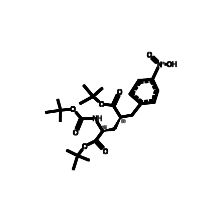 CC(C)(C)OC(=O)N[C@@H](C[C@H](Cc1ccc([N+](=O)O)cc1)C(=O)OC(C)(C)C)C(=O)OC(C)(C)C